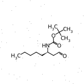 CCCCC[C@H](CC=O)NC(=O)OC(C)(C)C